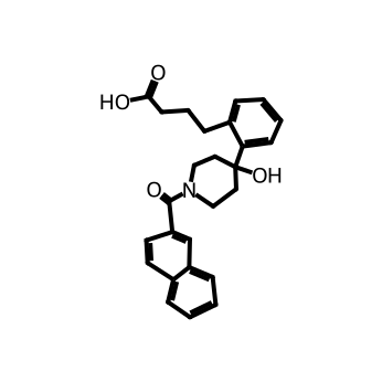 O=C(O)CCCc1ccccc1C1(O)CCN(C(=O)c2ccc3ccccc3c2)CC1